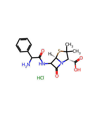 CC1(C)S[C@@H]2C(NC(=O)C(N)c3ccccc3)C(=O)N2[C@H]1C(=O)O.Cl